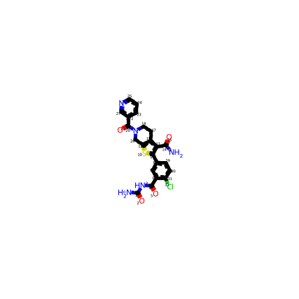 NC(=O)NC(=O)c1cc(-c2sc3c(c2C(N)=O)CCN(C(=O)c2cccnc2)C3)ccc1Cl